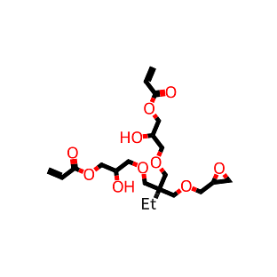 C=CC(=O)OCC(O)COCC(CC)(COCC(O)COC(=O)C=C)COCC1CO1